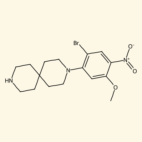 COc1cc(N2CCC3(CCNCC3)CC2)c(Br)cc1[N+](=O)[O-]